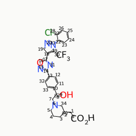 O=C(O)C[C@H]1CCCN(C[C@@H](O)c2ccc(-c3noc(-c4cnn(-c5ccccc5Cl)c4C(F)(F)F)n3)cc2)C1